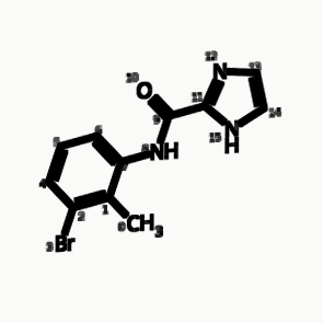 Cc1c(Br)cccc1NC(=O)c1ncc[nH]1